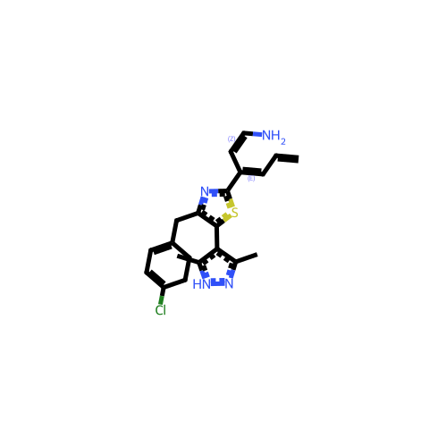 C=C/C=C(\C=C/N)c1nc(CC2=CC=C(Cl)CC2)c(-c2c(C)n[nH]c2C)s1